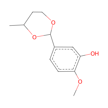 COc1ccc(C2OCCC(C)O2)cc1O